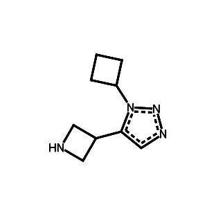 c1nnn(C2CCC2)c1C1CNC1